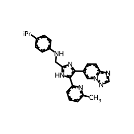 Cc1cccc(-c2[nH]c(CNc3ccc(C(C)C)cc3)nc2-c2ccc3ncnn3c2)n1